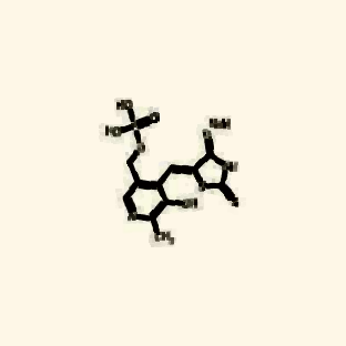 Cc1ncc(COP(=O)(O)O)c(/C=C2\SC(=S)NC2=O)c1O.[NaH]